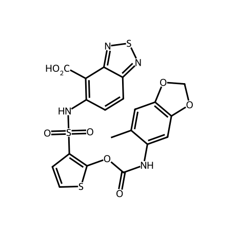 Cc1cc2c(cc1NC(=O)Oc1sccc1S(=O)(=O)Nc1ccc3nsnc3c1C(=O)O)OCO2